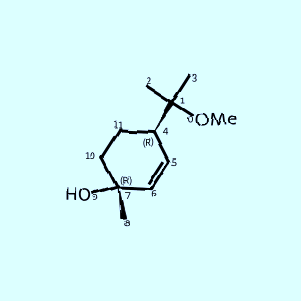 COC(C)(C)[C@H]1C=C[C@](C)(O)CC1